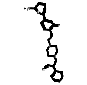 Nc1cccc(-c2ccc(CCN3CCN(CC(C=O)c4ccccc4)CC3)c(F)c2)n1